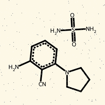 N#Cc1c(N)cccc1N1CCCC1.NS(N)(=O)=O